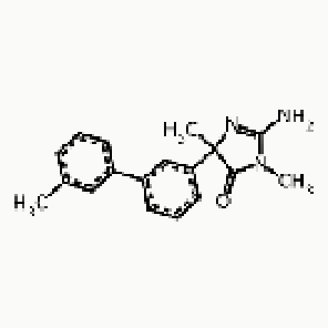 Cc1cccc(-c2cccc(C3(C)N=C(N)N(C)C3=O)c2)c1